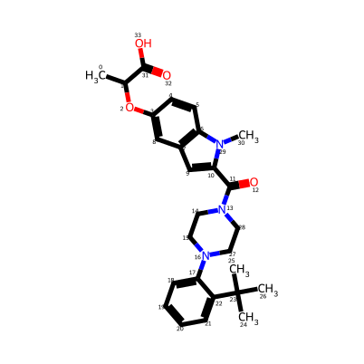 CC(Oc1ccc2c(c1)cc(C(=O)N1CCN(c3ccccc3C(C)(C)C)CC1)n2C)C(=O)O